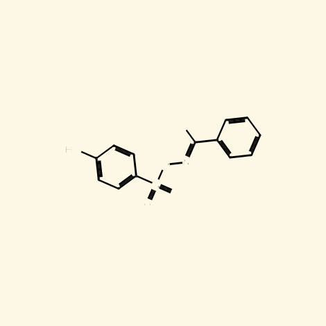 O=S(=O)(ON=C(c1ccccc1)C(F)(F)F)c1ccc(O)cc1